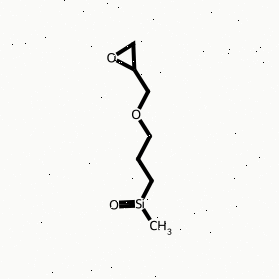 C[Si](=O)CCCOCC1CO1